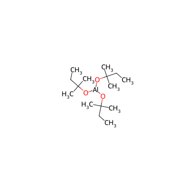 CCC(C)(C)[O][Al]([O]C(C)(C)CC)[O]C(C)(C)CC